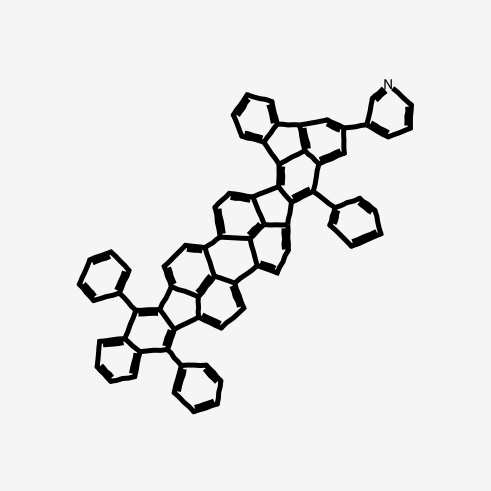 c1ccc(-c2c3c(c(-c4ccccc4)c4ccccc24)-c2ccc4c5ccc6c7c(ccc(c8ccc-3c2c84)c57)c2c(-c3ccccc3)c3cc(-c4cccnc4)cc4c5ccccc5c(c34)c62)cc1